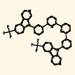 FC(F)(F)c1ccc2c(c1)c1ccncc1n2-c1cccc(-c2cccc(-c3cccc(-c4cccc(-n5c6ccc(C(F)(F)F)cc6c6ccncc65)c4)n3)n2)c1